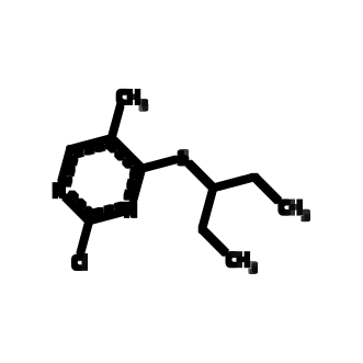 CCC(CC)Sc1nc(Cl)ncc1C